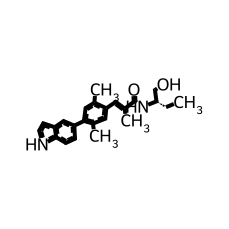 CC[C@@H](CO)NC(=O)/C(C)=C/c1cc(C)c(-c2ccc3[nH]ccc3c2)cc1C